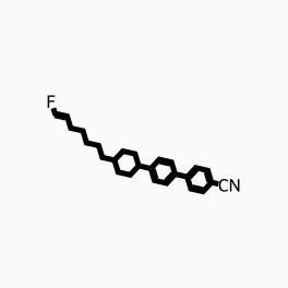 N#Cc1ccc(-c2ccc(C3CCC(CCCCC/C=C/F)CC3)cc2)cc1